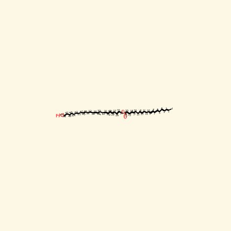 CCCCCCCCC=CCCCCCCCCCCCC(=O)OCCCCCCCCCCCCCCCCCCCCCCCCCO